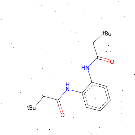 CC(C)(C)CC(=O)Nc1ccccc1NC(=O)CC(C)(C)C